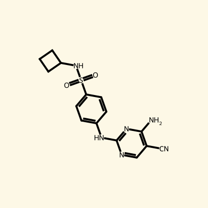 N#Cc1cnc(Nc2ccc(S(=O)(=O)NC3CCC3)cc2)nc1N